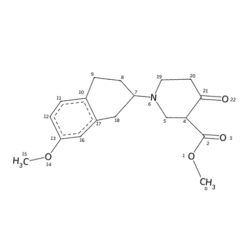 COC(=O)C1CN(C2CCc3ccc(OC)cc3C2)CCC1=O